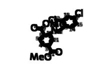 COC(=O)c1ccc(C(=O)OC)c(NCc2ccc(Cl)cc2Cl)c1